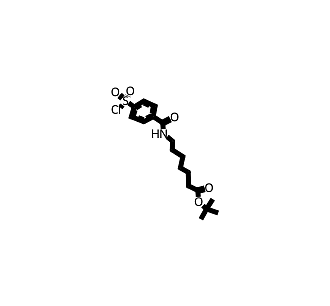 CC(C)(C)OC(=O)CCCCCCNC(=O)c1ccc(S(=O)(=O)Cl)cc1